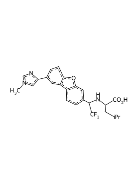 CC(C)CC(NC(c1ccc2c(c1)oc1ccc(-c3cn(C)cn3)cc12)C(F)(F)F)C(=O)O